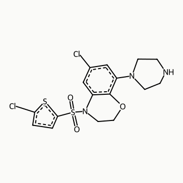 O=S(=O)(c1ccc(Cl)s1)N1CCOc2c(N3CCNCC3)cc(Cl)cc21